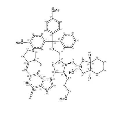 COCCO[C@@H]1[C@H](O[PH]2(O)O[C@@H]3CCCC[C@H]3S2)[C@@H](COC(c2ccccc2)(c2ccc(OC)cc2)c2ccc(OC)cc2)O[C@H]1n1cnc2c(=O)[nH]c(N=C3CCCN3C)nc21